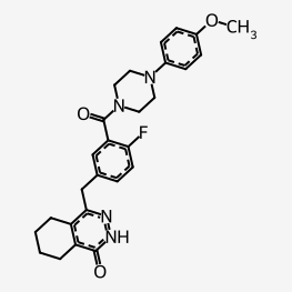 COc1ccc(N2CCN(C(=O)c3cc(Cc4n[nH]c(=O)c5c4CCCC5)ccc3F)CC2)cc1